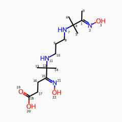 C/C(=N\O)C(C)(C)NCCCNC(C)(C)/C(CCC(=O)O)=N/O